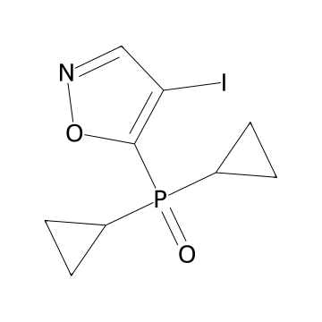 O=P(c1oncc1I)(C1CC1)C1CC1